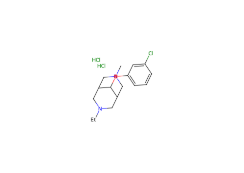 CCN1CC2CN(C)CC(C1)C2Oc1cccc(Cl)c1.Cl.Cl